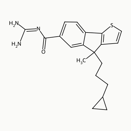 CC1(CCCC2CC2)c2cc(C(=O)N=C(N)N)ccc2-c2sccc21